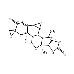 CC(C)C1C2C3CC3C3=CC(=O)C4(CC4)C[C@]3(C)C2CC[C@]1(C)[C@H]1CCC(=O)O1